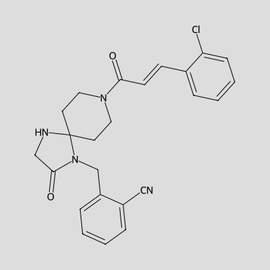 N#Cc1ccccc1CN1C(=O)CNC12CCN(C(=O)C=Cc1ccccc1Cl)CC2